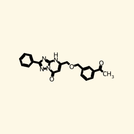 CC(=O)c1cccc(COCc2cc(=O)n3nc(-c4ccccc4)nc3[nH]2)c1